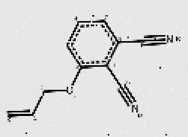 C=CCOc1cccc(C#N)c1C#N